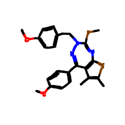 COc1ccc(CN2N=C(c3ccc(OC)cc3)c3c(sc(C)c3C)N=C2SC)cc1